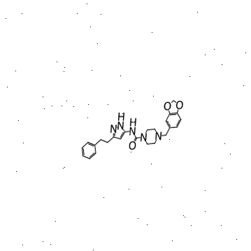 O=C(Nc1cc(CCc2ccccc2)n[nH]1)N1CCN(Cc2ccc3c(c2)OCO3)CC1